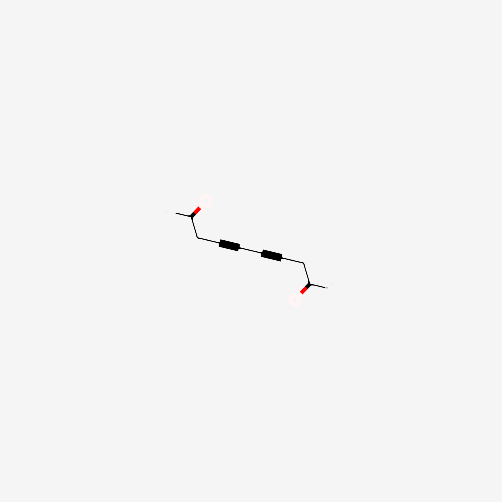 CC(=O)CC#CC#CCC(C)=O